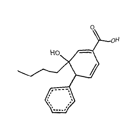 CCCCC1(O)C=C(C(=O)O)C=CC1c1ccccc1